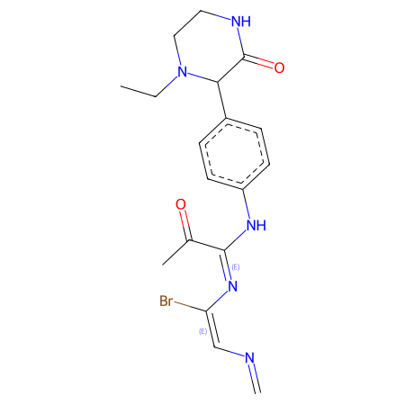 C=N/C=C(Br)\N=C(\Nc1ccc(C2C(=O)NCCN2CC)cc1)C(C)=O